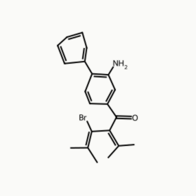 CC(C)=C(Br)C(C(=O)c1ccc(-c2ccccc2)c(N)c1)=C(C)C